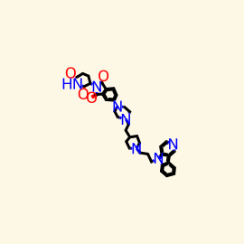 O=C1CCC(N2C(=O)c3ccc(N4CCN(CCC5CCN(CCCn6c7ccccc7c7cnccc76)CC5)CC4)cc3C2=O)C(=O)N1